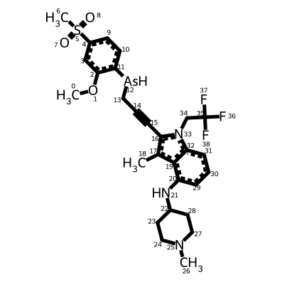 COc1cc(S(C)(=O)=O)ccc1[AsH]CC#Cc1c(C)c2c(NC3CCN(C)CC3)cccc2n1CC(F)(F)F